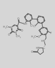 COc1cc(-c2cccc(-c3cccc(NC(=O)c4cn(C)c(=O)n(C)c4=O)c3Cl)c2Cl)cc(F)c1CNC[C@@H]1CCC(=O)N1